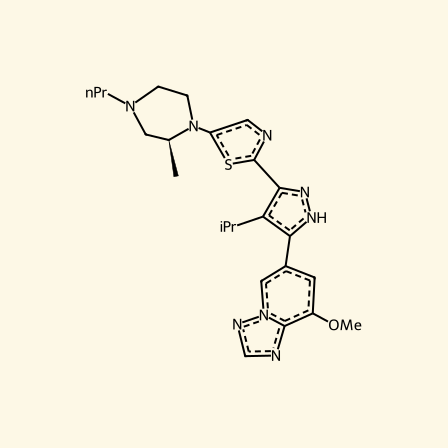 CCCN1CCN(c2cnc(-c3n[nH]c(-c4cc(OC)c5ncnn5c4)c3C(C)C)s2)[C@@H](C)C1